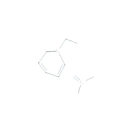 CCN1C=CC=CC1.O=[N+]([O-])O